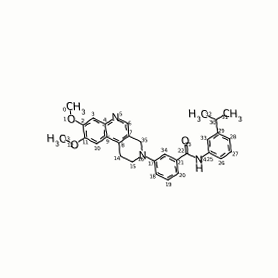 COc1cc2ncc3c(c2cc1OC)CCN(c1cccc(C(=O)Nc2cccc(C(C)C)c2)c1)C3